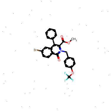 COC(=O)c1c(-c2ccccc2)c2cc(Br)ccc2c(=O)n1Cc1ccc(OC(F)(F)F)cc1